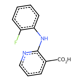 O=C(O)c1cccnc1Nc1ccccc1F